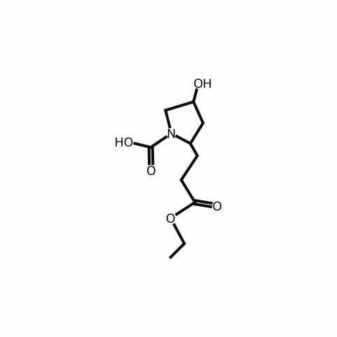 CCOC(=O)CCC1CC(O)CN1C(=O)O